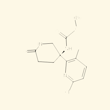 Cc1ccc(Cl)nc1[C@]1(NC(=O)OC(C)(C)C)CCC(=O)NC1